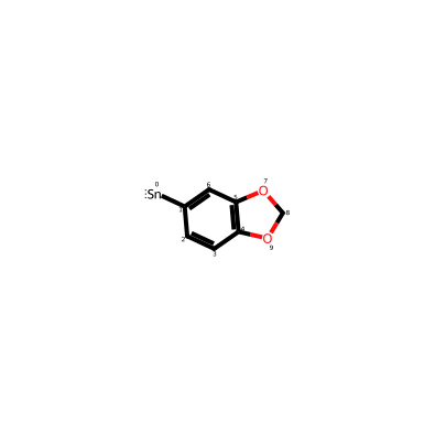 [Sn][c]1ccc2c(c1)OCO2